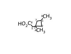 CC1CC(C)(CC(=O)O)C1